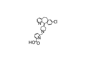 O=C(O)c1cccc(CN2CCC(=C3c4ccc(Cl)cc4CCc4cccnc43)CC2)n1